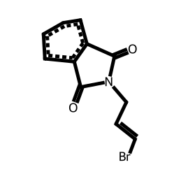 O=C1c2ccccc2C(=O)N1CC=CBr